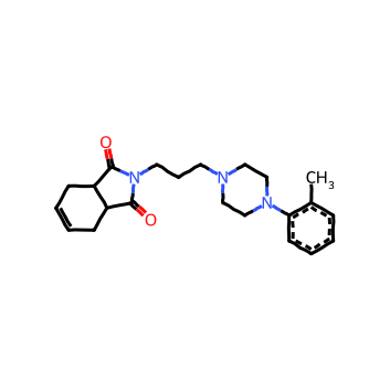 Cc1ccccc1N1CCN(CCCN2C(=O)C3CC=CCC3C2=O)CC1